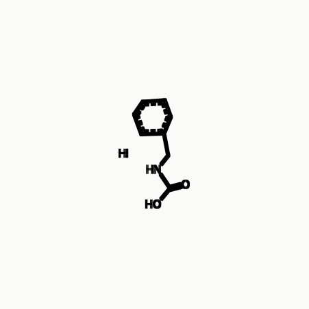 I.O=C(O)NCc1ccccc1